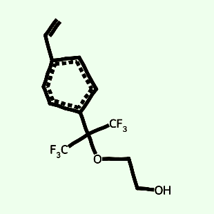 C=Cc1ccc(C(OCCO)(C(F)(F)F)C(F)(F)F)cc1